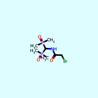 CP(C)(=O)C(NC(=O)CBr)P(C)(C)=O